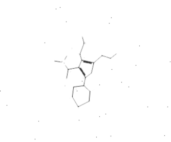 CCCC1=C(CCC)C(C(C)N(C)C)=C(C2CCCCC2)C1